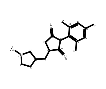 CC(=O)N1CCC(CC2CC(=O)C(c3c(C)cc(C)cc3C)C2=O)C1